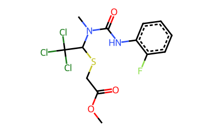 COC(=O)CSC(N(C)C(=O)Nc1ccccc1F)C(Cl)(Cl)Cl